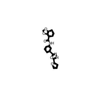 O=C(Nc1cccc(-c2nnc(-c3ccco3)o2)c1)c1cccc2c1OCO2